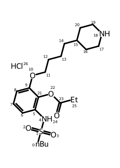 CCCCS(=O)(=O)Nc1cccc(OCCCCC2CCNCC2)c1OC(=O)CC.Cl